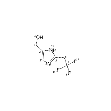 OCc1cnc(CC(F)(F)F)[nH]1